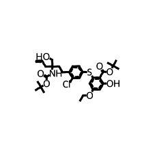 C=CCC(CO)(CCc1ccc(Sc2cc(OCC)cc(O)c2C(=O)OC(C)(C)C)cc1Cl)NC(=O)OC(C)(C)C